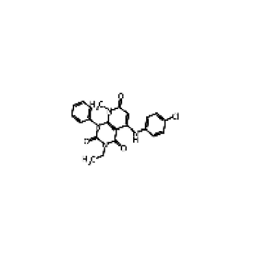 CCn1c(=O)c2c(Nc3ccc(Cl)cc3)cc(=O)n(C)c2n(-c2ccccc2)c1=O